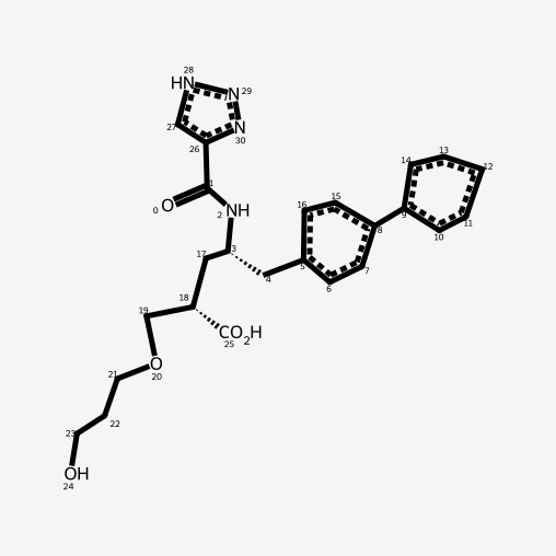 O=C(N[C@H](Cc1ccc(-c2ccccc2)cc1)C[C@@H](COCCCO)C(=O)O)c1c[nH]nn1